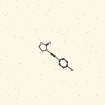 O=C1OCCN1C#Cc1ccc(Br)cc1